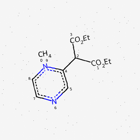 C.CCOC(=O)C(C(=O)OCC)c1cnccn1